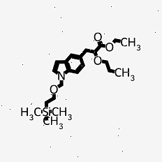 CCCOC(Cc1ccc2c(ccn2COCC[Si](C)(C)C)c1)C(=O)OCC